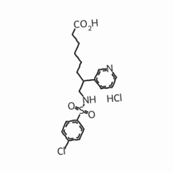 Cl.O=C(O)CCCCCC(CNS(=O)(=O)c1ccc(Cl)cc1)c1cccnc1